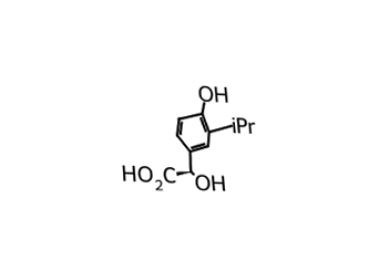 CC(C)c1cc([C@@H](O)C(=O)O)ccc1O